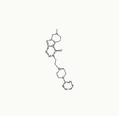 CN1CCc2c(sc3ncn(CCN4CCN(c5ccccn5)CC4)c(=O)c23)C1